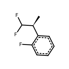 C[C@@H](c1ccccc1F)C(F)F